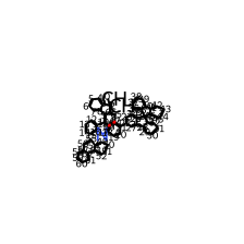 CC1(C)c2ccccc2-c2c(-c3ccccc3N(c3ccc(-c4ccc5c(c4)-c4ccccc4C54c5ccccc5-c5ccccc54)cc3)c3cccc4c3ccc3ccccc34)cccc21